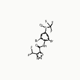 O=C(Nc1c(Br)cc([S+]([O-])C(F)(F)F)cc1Br)c1snnc1C(F)F